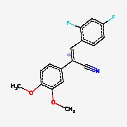 COc1ccc(/C(C#N)=C/c2ccc(F)cc2F)cc1OC